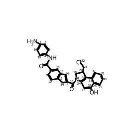 Nc1ccc(NC(=O)c2ccc3c(c2)C=C(C(=O)N2CC(CCl)c4c2cc(O)c2ccccc42)C3)cc1